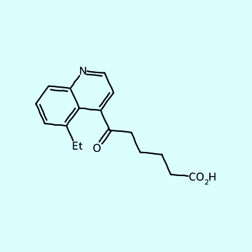 CCc1cccc2nccc(C(=O)CCCCC(=O)O)c12